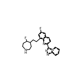 Fc1cc(CCC2CCNCCC2F)c2nc(-c3nnc4ccccn34)ccc2c1